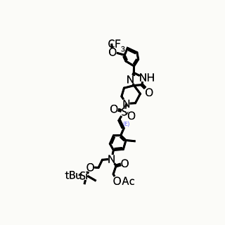 CC(=O)OCC(=O)N(CCO[Si](C)(C)C(C)(C)C)c1ccc(/C=C/S(=O)(=O)N2CCC3(CC2)N=C(c2cccc(OC(F)(F)F)c2)NC3=O)c(C)c1